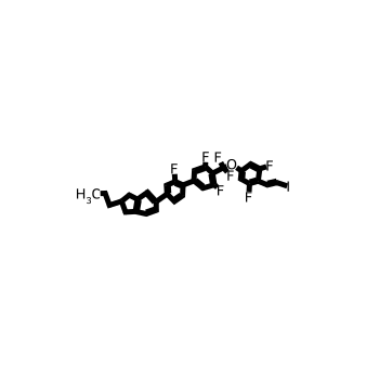 CCCC1Cc2ccc(-c3ccc(-c4cc(F)c(C(F)(F)Oc5cc(F)c(C=CI)c(F)c5)c(F)c4)c(F)c3)cc2C1